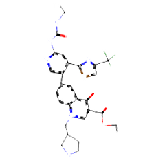 CCNC(=O)Nc1cc(-c2nc(C(F)(F)F)cs2)c(-c2ccc3c(c2)c(=O)c(C(=O)OCC)cn3CC2CCNC2)cn1